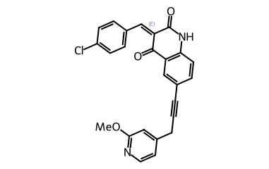 COc1cc(CC#Cc2ccc3c(c2)C(=O)/C(=C\c2ccc(Cl)cc2)C(=O)N3)ccn1